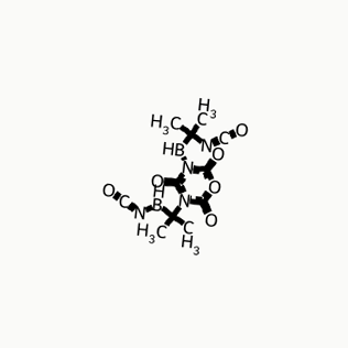 CC(C)(Bn1c(=O)oc(=O)n(C(C)(C)BN=C=O)c1=O)N=C=O